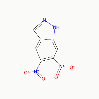 O=[N+]([O-])c1cc2cn[nH]c2cc1[N+](=O)[O-]